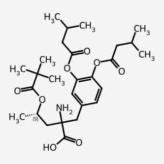 CC(C)CC(=O)Oc1ccc(CC(N)(C[C@H](C)OC(=O)C(C)(C)C)C(=O)O)cc1OC(=O)CC(C)C